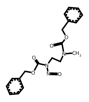 CN(CCN(N=O)C(=O)OCc1ccccc1)C(=O)OCc1ccccc1